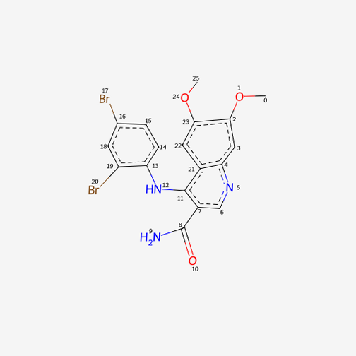 COc1cc2ncc(C(N)=O)c(Nc3ccc(Br)cc3Br)c2cc1OC